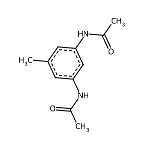 CC(=O)Nc1cc(C)cc(NC(C)=O)c1